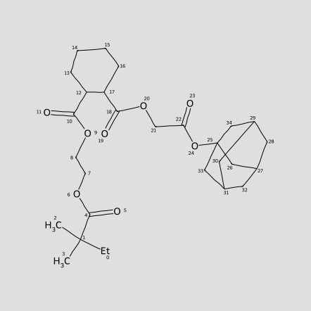 CCC(C)(C)C(=O)OCCOC(=O)C1CCCCC1C(=O)OCC(=O)OC12CC3CC(CC(C3)C1)C2